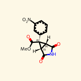 COC(=O)[C@@]1(c2cccc([N+](=O)[O-])c2)[C@@H]2C(=O)NC(=O)[C@@H]21